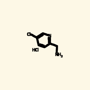 Cl.NCc1ccc(Cl)cn1